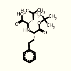 CC(C)C[C@H](N[C@@H](CCc1ccccc1)C(=O)OC(C)(C)C)C(=O)O